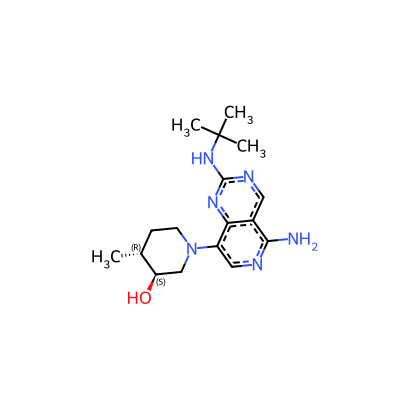 C[C@@H]1CCN(c2cnc(N)c3cnc(NC(C)(C)C)nc23)C[C@H]1O